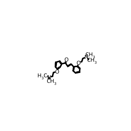 CN(C)CCOc1cccc(C(=O)/C=C/c2ccccc2OCCN(C)C)c1